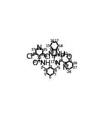 O=C(NCc1cccc(CN(Cc2nc3ccccc3[nH]2)C2CCOc3cccnc32)c1)c1c(Cl)cncc1Cl